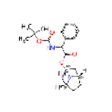 CN1[C@@H]2CC[C@H]1C[C@@H](OC(=O)C(NC(=O)OC(C)(C)C)c1ccccc1)C2